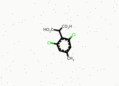 Cc1cc(Cl)c(C(C(=O)O)C(=O)O)c(Cl)c1